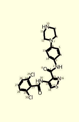 O=C(Nc1ccc(N2CCNCC2)cc1)c1nscc1NC(=O)c1c(Cl)cccc1Cl